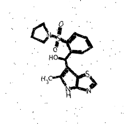 CC1=C(C(O)c2ccccc2S(=O)(=O)N2CCCC2)C2SC=NC2N1